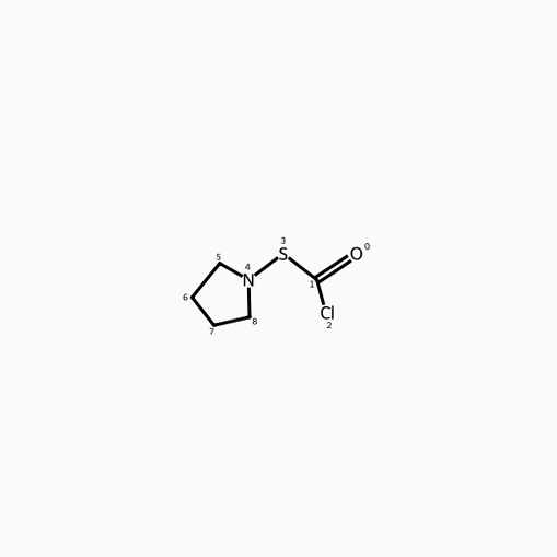 O=C(Cl)SN1CCCC1